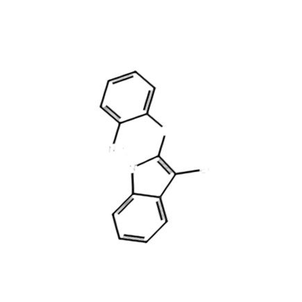 CCc1c(Sc2ccccc2[N+](=O)[O-])[nH]c2ccccc12